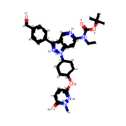 CCN(C(=O)OC(C)(C)C)c1cc2c(cn1)c(-c1ccc(C=O)cc1)nn2C1CCC(Oc2ccc(=O)n(C)n2)CC1